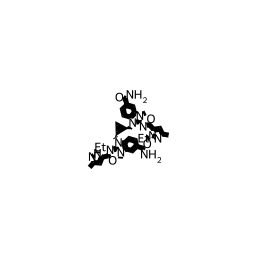 CCn1nc(C)cc1C(=O)/N=c1\n(C)c2cc(C(N)=O)ccc2n1C[C@@H]1C[C@H]1Cn1/c(=N/C(=O)c2cc(C)nn2CC)n(C)c2cc(C(N)=O)ccc21